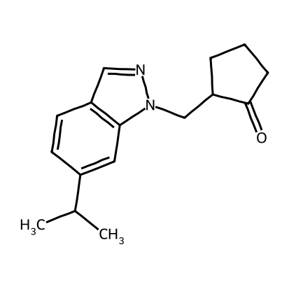 CC(C)c1ccc2cnn(CC3CCCC3=O)c2c1